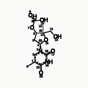 Cc1cn([C@H]2CC(O[PH](=O)O)[C@@](C)(CO)O2)c(=O)[nH]c1=O